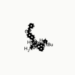 CC(C)(C)N1CCC[C@H]1C(=O)NC[C@@H](O)[C@H](Cc1ccccc1)NC(=O)[C@H](CC(N)=O)NC(=O)c1ccc2cc(C(=O)OCc3ccccc3)ccc2c1